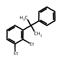 CCc1cc[c]c(C(C)(C)c2ccccc2)c1CC